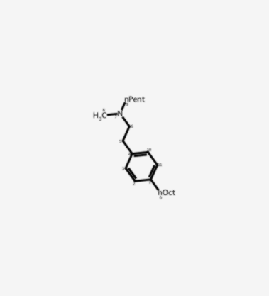 CCCCCCCCc1ccc(CCN(C)CCCCC)cc1